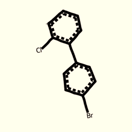 Clc1[c]cccc1-c1ccc(Br)cc1